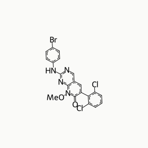 COn1c(=O)c(-c2c(Cl)cccc2Cl)cc2cnc(Nc3ccc(Br)cc3)nc21